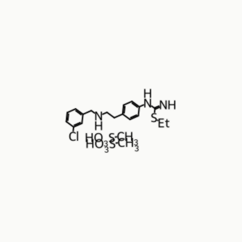 CCSC(=N)Nc1ccc(CCNCc2cccc(Cl)c2)cc1.CS(=O)(=O)O.CS(=O)(=O)O